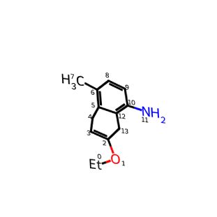 CCOC1=CCc2c(C)ccc(N)c2C1